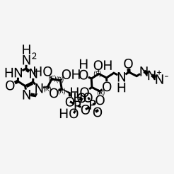 [N-]=[N+]=NCC(=O)NCC1O[C@H](OP(=O)(O)OP(=O)(O)OC[C@H]2O[C@@H](n3cnc4c(=O)[nH]c(N)nc43)[C@@H](O)[C@H]2O)C(O)C(O)[C@@H]1O